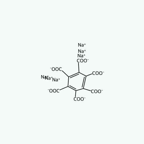 O=C([O-])c1c(C(=O)[O-])c(C(=O)[O-])c(C(=O)[O-])c(C(=O)[O-])c1C(=O)[O-].[Na+].[Na+].[Na+].[Na+].[Na+].[Na+]